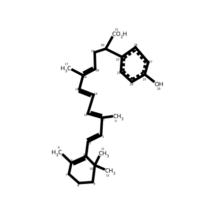 CC(C=CC1=C(C)CCCC1(C)C)=CC=CC(C)=CCC(C(=O)O)c1ccc(O)cc1